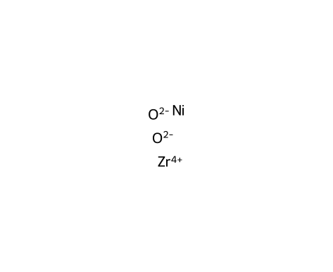 [Ni].[O-2].[O-2].[Zr+4]